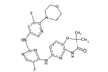 CC1(C)Oc2ccc(Nc3nc(Nc4cnc(N5CCOCC5)c(F)c4)ncc3F)nc2NC1=O